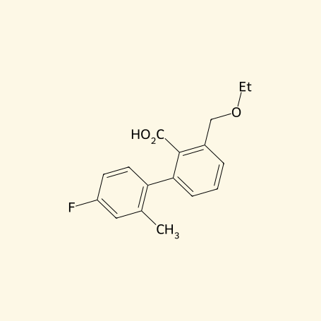 CCOCc1cccc(-c2ccc(F)cc2C)c1C(=O)O